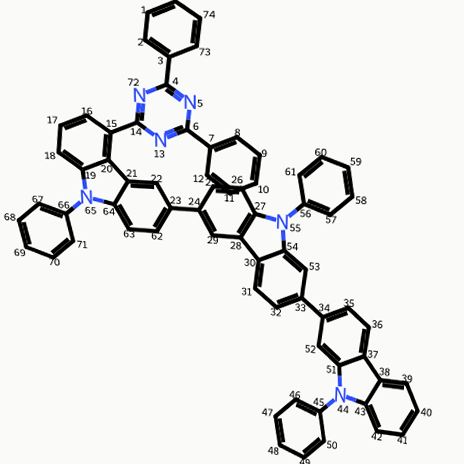 c1ccc(-c2nc(-c3ccccc3)nc(-c3cccc4c3c3cc(-c5ccc6c(c5)c5ccc(-c7ccc8c9ccccc9n(-c9ccccc9)c8c7)cc5n6-c5ccccc5)ccc3n4-c3ccccc3)n2)cc1